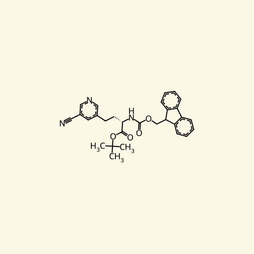 CC(C)(C)OC(=O)[C@H](CCc1cncc(C#N)c1)NC(=O)OCC1c2ccccc2-c2ccccc21